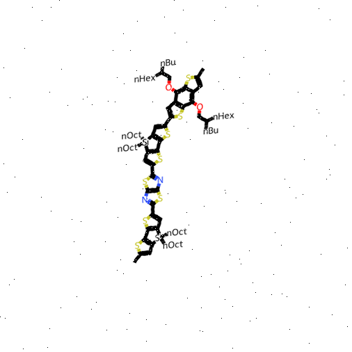 CCCCCCCC[Si]1(CCCCCCCC)c2cc(C)sc2-c2sc(-c3nc4sc(-c5cc6c(s5)-c5sc(-c7cc8c(OCC(CCCC)CCCCCC)c9sc(C)cc9c(OCC(CCCC)CCCCCC)c8s7)cc5[Si]6(CCCCCCCC)CCCCCCCC)nc4s3)cc21